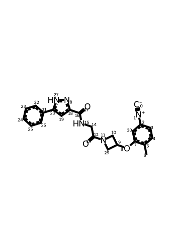 [C-]#[N+]c1ccc(C)c(OC2CN(C(=O)CNC(=O)c3cc(-c4ccccc4)[nH]n3)C2)c1